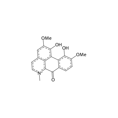 COc1ccc2c(c1O)-c1c(O)c(OC)cc3cc[n+](C)c(c13)C2=O